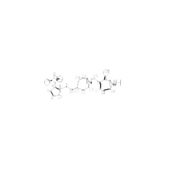 CS(=O)(=O)c1ccsc1CCC1CCN(Cc2ccc[nH]c2=O)CC1